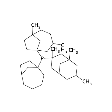 CC1CC2CC(C)(C1)CC(C)(P(C13CCCCC(CC1)C3)C13CCC(C)(CCC(C)C1)C3)C2